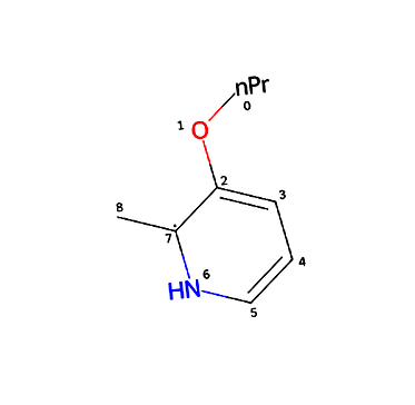 CCCOC1=CC=CN[C]1C